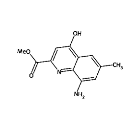 COC(=O)c1cc(O)c2cc(C)cc(N)c2n1